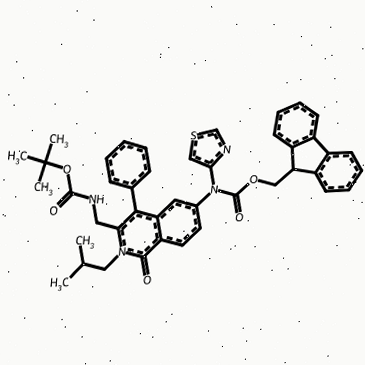 CC(C)Cn1c(CNC(=O)OC(C)(C)C)c(-c2ccccc2)c2cc(N(C(=O)OCC3c4ccccc4-c4ccccc43)c3cscn3)ccc2c1=O